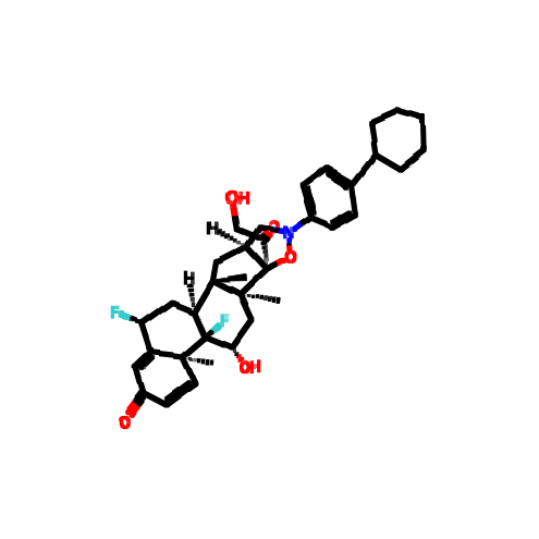 C[C@]12C[C@H](O)[C@@]3(F)[C@@H](C[C@H](F)C4=CC(=O)C=C[C@@]43C)[C@]1(C)C[C@H]1CN(c3ccc(C4CCCCC4)cc3)O[C@]12C(=O)CO